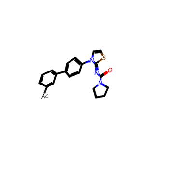 CC(=O)c1cccc(-c2ccc(-n3ccsc3=NC(=O)N3CCCC3)cc2)c1